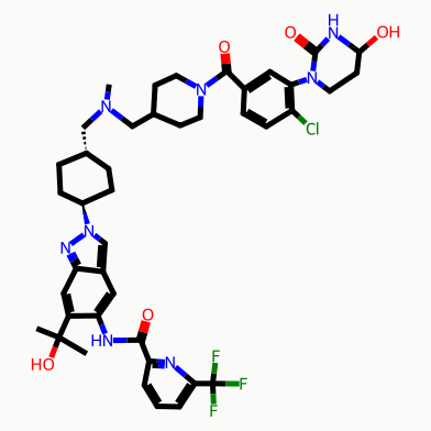 CN(CC1CCN(C(=O)c2ccc(Cl)c(N3CCC(O)NC3=O)c2)CC1)C[C@H]1CC[C@H](n2cc3cc(NC(=O)c4cccc(C(F)(F)F)n4)c(C(C)(C)O)cc3n2)CC1